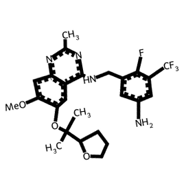 COc1cc2nc(C)nc(NCc3cc(N)cc(C(F)(F)F)c3F)c2cc1OC(C)(C)C1CCCO1